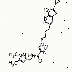 Cc1cc(CNC(=O)c2cn(CCCCc3cc4cc(C5CC5)[nH]c4nn3)nn2)nn1C